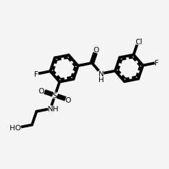 O=C(Nc1ccc(F)c(Cl)c1)c1ccc(F)c(S(=O)(=O)NCCO)c1